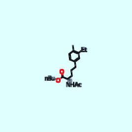 CCCCOC(=O)[C@H](CCCc1ccc(C)c(CC)c1)NC(C)=O